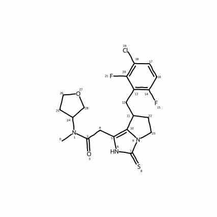 CN(C(=O)Cc1[nH]c(=S)n2c1C(Cc1c(F)ccc(Cl)c1F)CC2)C1CCOC1